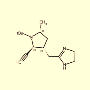 C#C[C@@H]1[C@@H](CC2=NCCN2)C[C@@H](C)N1C(C)(C)C